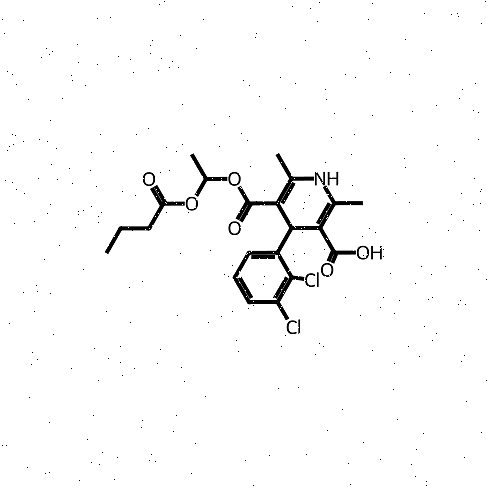 CCCC(=O)OC(C)OC(=O)C1=C(C)NC(C)=C(C(=O)O)C1c1cccc(Cl)c1Cl